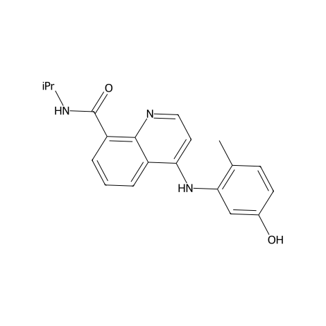 Cc1ccc(O)cc1Nc1ccnc2c(C(=O)NC(C)C)cccc12